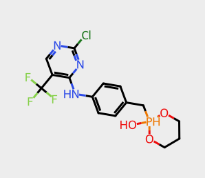 O[PH]1(Cc2ccc(Nc3nc(Cl)ncc3C(F)(F)F)cc2)OCCCO1